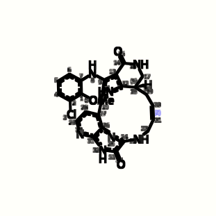 COc1c(Cl)cccc1Nc1c2[nH]c3c1C(=O)NC[C@@H]3C/C=C\CNc1nc3c-2ccnc3[nH]c1=O